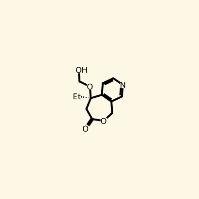 CC[C@@]1(OCO)CC(=O)OCc2cnccc21